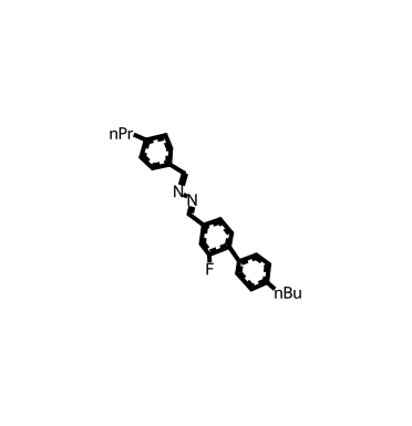 CCCCc1ccc(-c2ccc(C=NN=Cc3ccc(CCC)cc3)cc2F)cc1